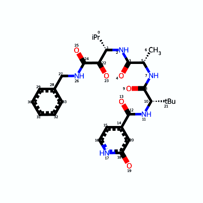 CC(C)[C@H](NC(=O)[C@H](C)NC(=O)[C@@H](NC(=O)c1cc[nH]c(=O)c1)C(C)(C)C)C(=O)C(=O)NCc1ccccc1